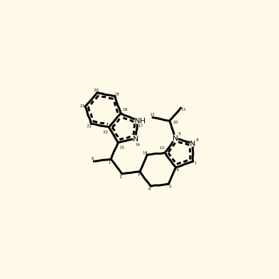 CC(CC1CCc2cnn(C(C)C)c2C1)c1n[nH]c2ccccc12